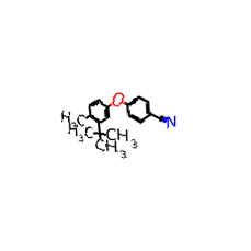 Cc1ccc(Oc2ccc(C#N)cc2)cc1C(C)(C)C